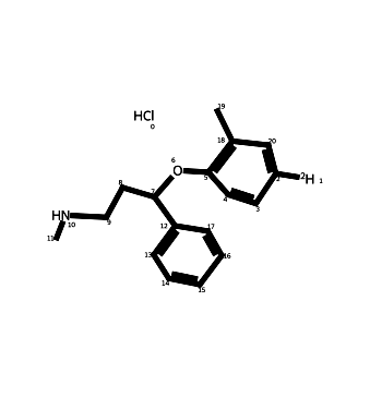 Cl.[2H]c1ccc(OC(CCNC)c2ccccc2)c(C)c1